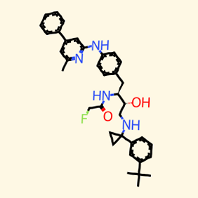 Cc1cc(-c2ccccc2)cc(Nc2ccc(C[C@H](NC(=O)CF)[C@H](O)CNC3(c4cccc(C(C)(C)C)c4)CC3)cc2)n1